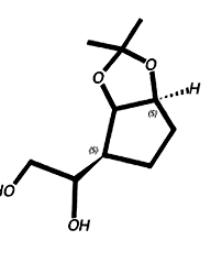 CC1(C)OC2[C@H](C(O)CO)CC[C@@H]2O1